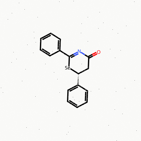 O=C1C[C@H](c2ccccc2)[Se]C(c2ccccc2)=N1